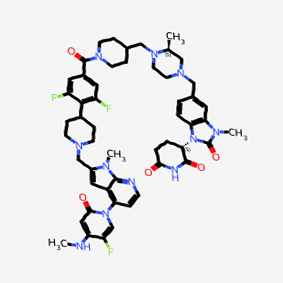 CNc1cc(=O)n(-c2ccnc3c2cc(CN2CCC(c4c(F)cc(C(=O)N5CCC(CN6CCN(Cc7ccc8c(c7)n(C)c(=O)n8[C@H]7CCC(=O)NC7=O)C[C@@H]6C)CC5)cc4F)CC2)n3C)cc1F